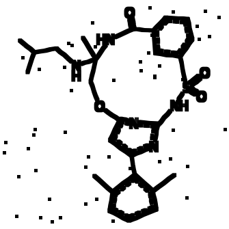 Cc1cccc(C)c1-c1cc2nc(n1)NS(=O)(=O)c1cccc(c1)C(=O)NC(C)(NCC(C)C)CO2